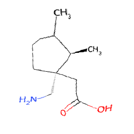 CC1CC[C@](CN)(CC(=O)O)[C@@H]1C